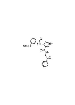 CC(=O)Nc1cccc(C(=O)Nc2c[nH]nc2C(=O)NCC(=O)c2ccccc2)c1